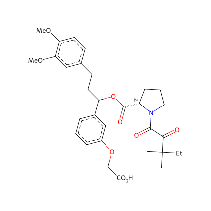 CCC(C)(C)C(=O)C(=O)N1CCC[C@H]1C(=O)OC(CCc1ccc(OC)c(OC)c1)c1cccc(OCC(=O)O)c1